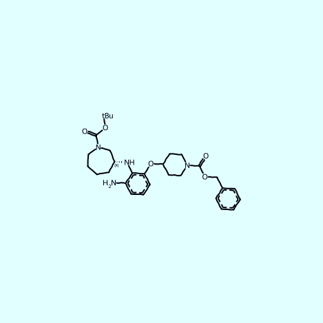 CC(C)(C)OC(=O)N1CCCC[C@@H](Nc2c(N)cccc2OC2CCN(C(=O)OCc3ccccc3)CC2)C1